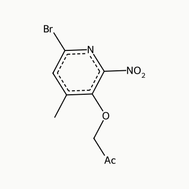 CC(=O)COc1c(C)cc(Br)nc1[N+](=O)[O-]